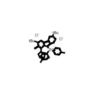 C=c1c(C(C)(C)C)cc2c(c1C1=CC=CC1)[C]([Zr+2]([c]1ccc(C)cc1)[c]1ccc(C)cc1)=c1ccc(C(C)(C)C)cc1=2.[Cl-].[Cl-]